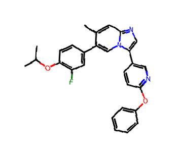 Cc1cc2ncc(-c3ccc(Oc4ccccc4)nc3)n2cc1-c1ccc(OC(C)C)c(F)c1